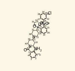 Cc1cccc(C(=O)N2CCC(N3CCC(C4(c5ccccc5S(=O)(=O)c5cccc(Cl)c5)OCCO4)CC3)CC2)c1N